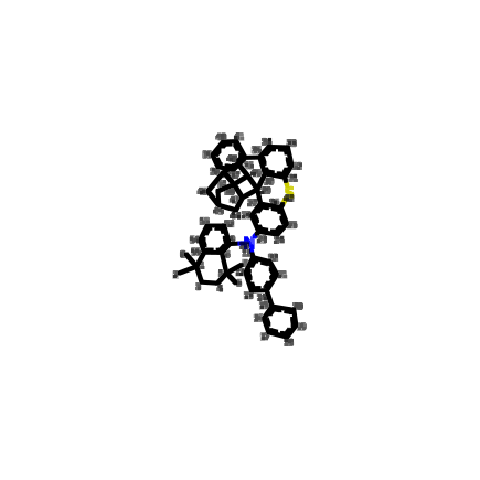 CC1(C)CCC(C)(C)c2c(N(c3ccc(-c4ccccc4)cc3)c3ccc4c(c3)C3(c5c(cccc5-c5ccccc5)S4)C4CC5CC6CC3C64C5)cccc21